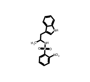 CC(Cc1c[nH]c2ccccc12)NS(=O)(=O)c1ccccc1[N+](=O)[O-]